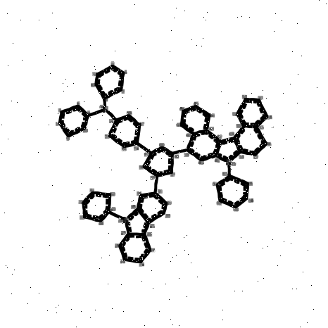 c1ccc(N(c2ccccc2)c2ccc(-c3cc(-c4ccc5c6ccccc6n(-c6ccccc6)c5c4)cc(-c4cc5c(c6ccccc46)c4c6ccccc6ccc4n5-c4ccccc4)c3)cc2)cc1